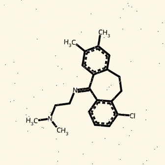 Cc1cc2c(cc1C)/C(=N/CCN(C)C)c1cccc(Cl)c1CC2